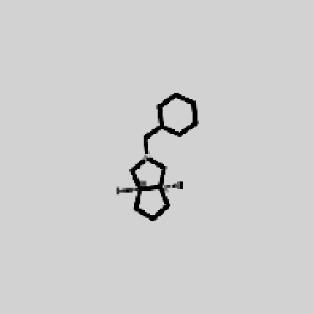 C1CCC(CN2C[C@H]3CCC[C@H]3C2)CC1